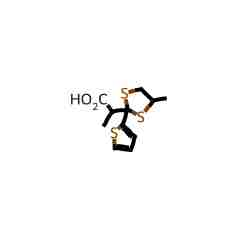 CC1CSC(c2cccs2)(C(C)C(=O)O)S1